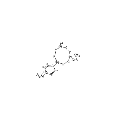 C[N+]1(C)CCNCCN(c2ccc(N)cc2)CC1